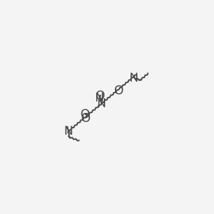 CCCCC/C=C\CCN(CC)CCCCCCCCCCOC(=O)CCCCCCCCCN(CCCCCCCCCCOCCCCCCCCCN(CC)CC/C=C\CCCCC)CCN=O